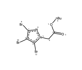 CCCCOC(=O)Cn1nc(Br)c(Br)c1Br